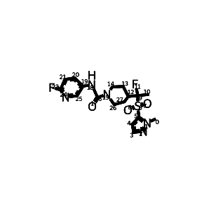 Cn1nccc1S(=O)(=O)C(C)(F)C1CCN(C(=O)Nc2ccc(F)nc2)CC1